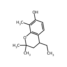 CCC1CC(C)(C)Oc2c1ccc(O)c2C